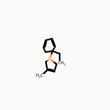 CCC1(P2CC=C(C)C2)C=CC=CC1